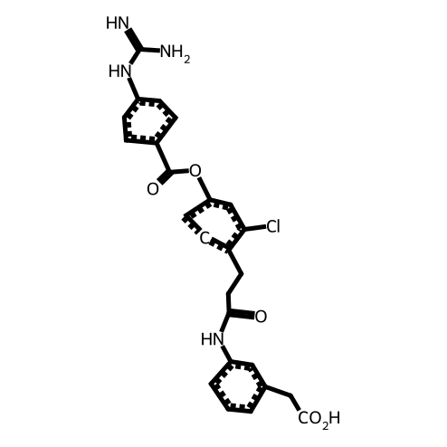 N=C(N)Nc1ccc(C(=O)Oc2ccc(CCC(=O)Nc3cccc(CC(=O)O)c3)c(Cl)c2)cc1